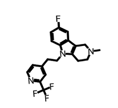 CN1CCc2c(c3cc(F)ccc3n2CCc2ccnc(C(F)(F)F)c2)C1